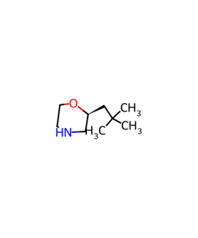 CC(C)(C)C[C@H]1CNCCO1